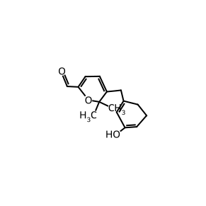 CC1(C)OC(C=O)=CC=C1CC1=CC(O)=CCC1